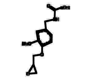 CCCCCCCCC(=O)NCc1ccc(OCC2CO2)c(OC)c1